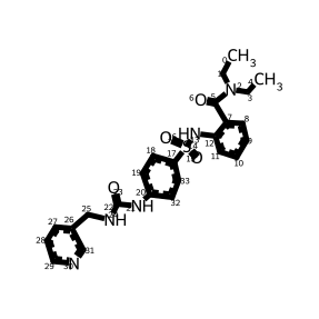 CCN(CC)C(=O)c1ccccc1NS(=O)(=O)c1ccc(NC(=O)NCc2cccnc2)cc1